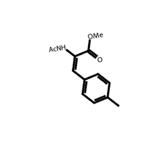 COC(=O)/C(=C\c1ccc(C)cc1)NC(C)=O